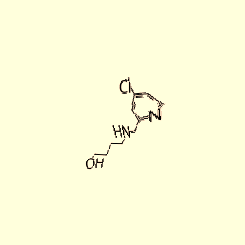 OCCCCNCc1cc(Cl)ccn1